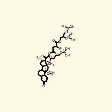 C[C@H]1CC2C3CCC4=CC(=O)C=C[C@]4(C)[C@@]3(F)[C@@H](O)C[C@]2(C)[C@@]1(OC(=O)CCCON(O)O)C(=O)COC(=O)CC(N)C(=O)OCC(CON(O)O)ON(O)O